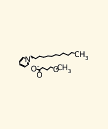 CCCCCCCCCCCC[n+]1ccccc1.COCCCC(=O)[O-]